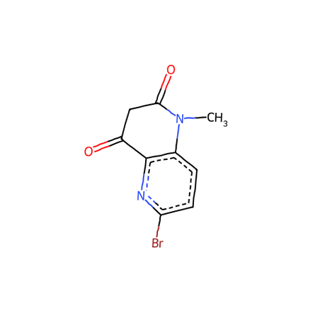 CN1C(=O)CC(=O)c2nc(Br)ccc21